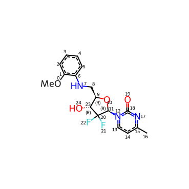 COc1ccccc1NC[C@H]1O[C@@H](n2ccc(C)nc2=O)C(F)(F)[C@@H]1O